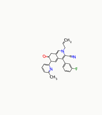 C=CCN1C=C2CC(=O)C(c3cccc(C)n3)C=C2C(c2cccc(F)c2)=C1C#N